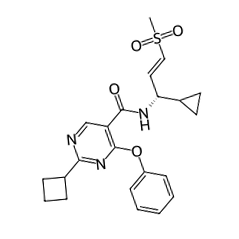 CS(=O)(=O)/C=C/[C@@H](NC(=O)c1cnc(C2CCC2)nc1Oc1ccccc1)C1CC1